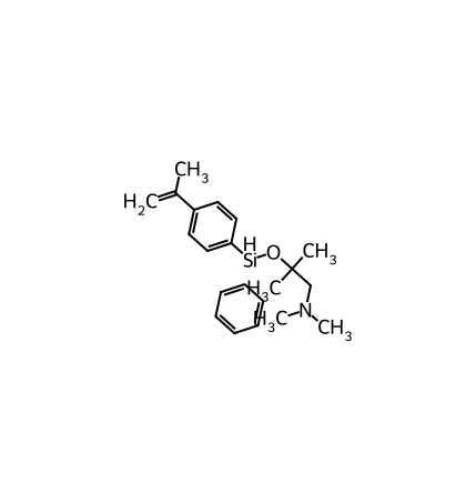 C=C(C)c1ccc([SiH](OC(C)(C)CN(C)C)c2ccccc2)cc1